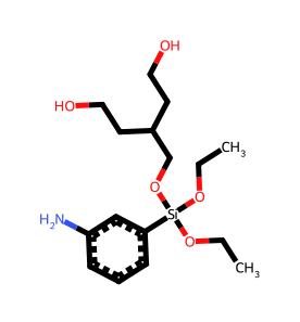 CCO[Si](OCC)(OCC(CCO)CCO)c1cccc(N)c1